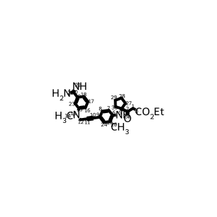 CCOC(=O)CC(=O)C1(Nc2ccc(C#CCN(C)c3cccc(C(=N)N)c3)cc2C)CCCC1